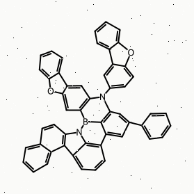 c1ccc(-c2cc3c4c(c2)N(c2ccc5oc6ccccc6c5c2)c2cc5c(cc2B4n2c4ccc6ccccc6c4c4cccc-3c42)oc2ccccc25)cc1